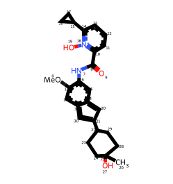 COc1cc2c(cc1NC(=O)c1cccc(C3CC3)[n+]1O)=CC(C1CCC(C)(O)CC1)=C=2